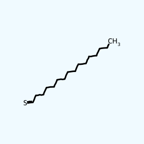 CCCCCCCCCCCCCCCC=S